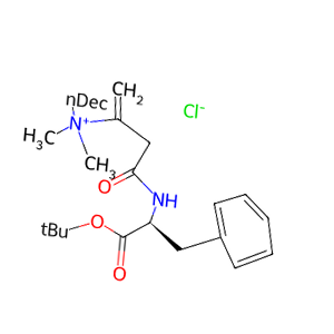 C=C(CC(=O)N[C@@H](Cc1ccccc1)C(=O)OC(C)(C)C)[N+](C)(C)CCCCCCCCCC.[Cl-]